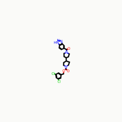 O=C(OCc1cc(Cl)cc(Cl)c1)N1CCC(C2CCN(C(=O)c3ccc4[nH]nnc4c3)CC2)CC1